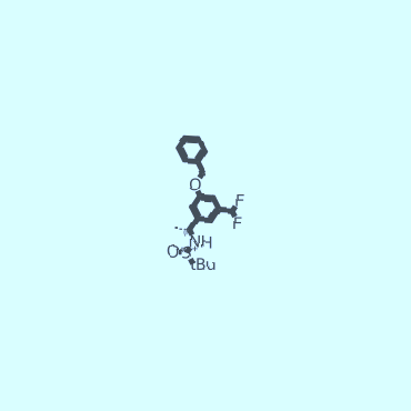 C[C@@H](N[S+]([O-])C(C)(C)C)c1cc(OCc2ccccc2)cc(C(F)F)c1